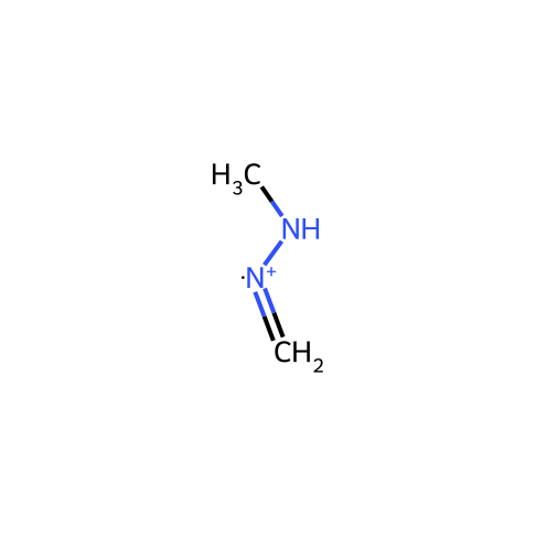 C=[N+]NC